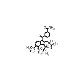 CC(C)c1ccn2c(C(=O)c3cccc(C(N)=O)c3)c(CC(C)(C)C(=O)O)c(C(=O)C(C)(C)C)c2c1